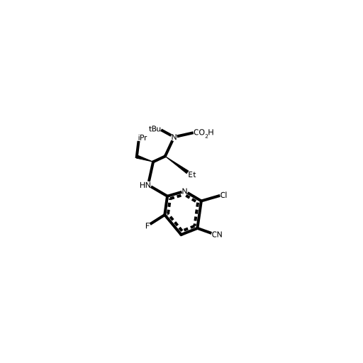 CC[C@@H]([C@H](CC(C)C)Nc1nc(Cl)c(C#N)cc1F)N(C(=O)O)C(C)(C)C